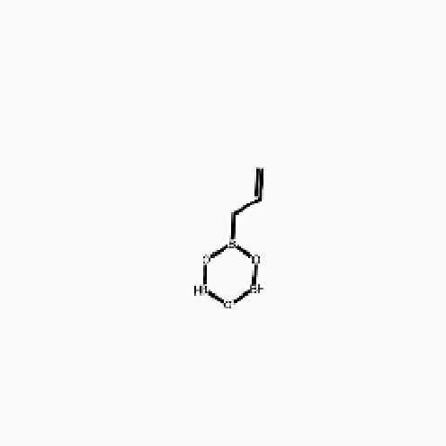 C=CCB1OBOBO1